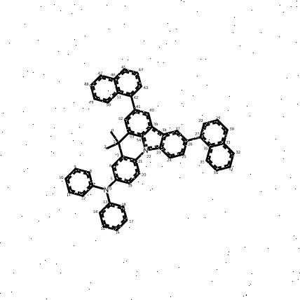 CC1(C)c2cc(N(c3ccccc3)c3ccccc3)ccc2-n2c3ccc(-c4cccc5ccccc45)cc3c3cc(-c4cccc5ccccc45)cc1c32